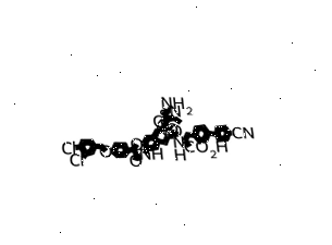 Cc1nc(N)sc1S(=O)(=O)N1Cc2cc3c(cc2CC1C(=O)NC(Cc1ccc(-c2ccc(C#N)cc2)cc1)C(=O)O)NC(=O)C(c1ccc(OCc2ccc(Cl)c(Cl)c2)cc1)O3